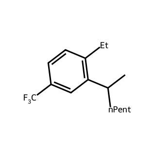 CCCCCC(C)c1cc(C(F)(F)F)ccc1CC